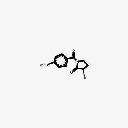 COc1ccc(C(=O)N2CC[C@@H](Br)C2=O)cc1